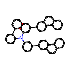 c1ccc(-c2ccccc2N(c2cccc(-c3ccc4c(ccc5ccccc54)c3)c2)c2cccc(-c3ccc4c(ccc5ccccc54)c3)c2)cc1